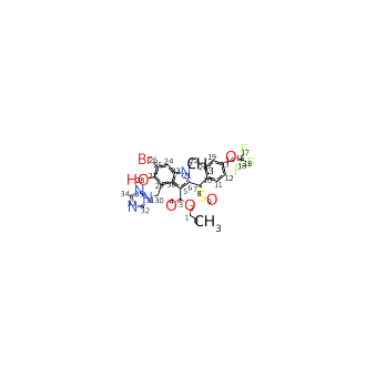 CCOC(=O)c1c(C(=S=O)c2ccc(OC(F)(F)F)cc2)n(C)c2cc(Br)c(O)c(Cn3cncn3)c12